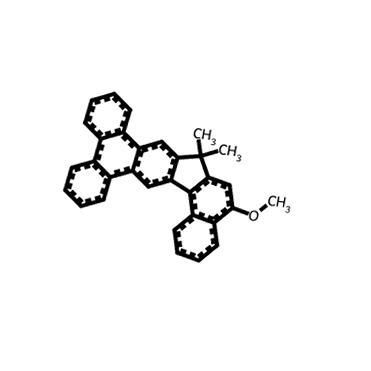 COc1cc2c(c3ccccc13)-c1cc3c4ccccc4c4ccccc4c3cc1C2(C)C